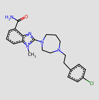 Cn1c(N2CCCN(CCc3ccc(Cl)cc3)CC2)nc2c(C(N)=O)cccc21